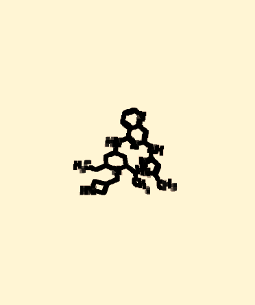 CCC1CC(Nc2nc(Nc3cc(C)[nH]n3)cc3ncccc23)CC(CC)N1CC1CNC1